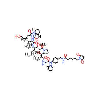 CC[C@H](C)[C@@H]([C@@H](CC(=O)N1CCC[C@H]1[C@H](OC)[C@@H](C)C(=O)N[C@@H](Cc1ccccc1)C(=O)Nc1ccc(CNC(=O)CCCCCN2C(=O)C=CC2=O)cc1)OC)N(C)C(=O)[C@@H](NC(=O)[C@@H]1[C@H]2CC[C@@H](C2)N1C(=O)CCCCCO)C(C)C